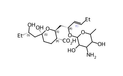 CC/C=C/[C@@H](C[C@@H]1O[C@](O)(C[C@@H](O)CC)CC[C@H]1C(=O)O)OC1OC(C)C(O)C(N)C1O